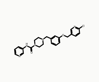 O=C(Nc1cccnc1)N1CCN(Cc2cccc(OCc3ccc(Cl)nc3)c2)CC1